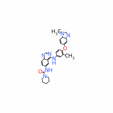 Cc1cc(Nc2ncnc3ccc(NC(=O)N4CCCCC4)cc23)ccc1OC1=CC2N=CN(C)C2C=C1